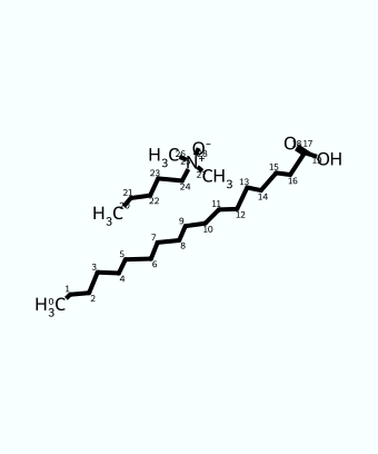 CCCCCCCCCCCCCCCCCC(=O)O.CCCCC[N+](C)(C)[O-]